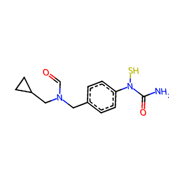 NC(=O)N(S)c1ccc(CN(C=O)CC2CC2)cc1